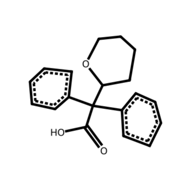 O=C(O)C(c1ccccc1)(c1ccccc1)C1CCCCO1